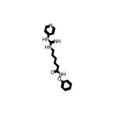 N=C(NCCCCCC(=O)NOc1ccccc1)Nc1ccncc1